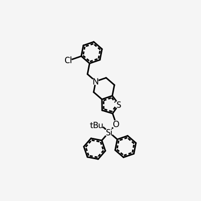 CC(C)(C)[Si](Oc1cc2c(s1)CCN(Cc1ccccc1Cl)C2)(c1ccccc1)c1ccccc1